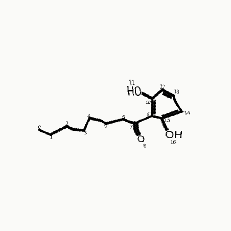 CCCCCCCC(=O)c1c(O)cccc1O